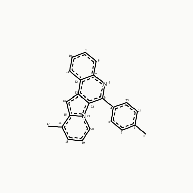 Cc1ccc(-c2nc3ccccc3c3cc4c(C)cccn4c23)cc1